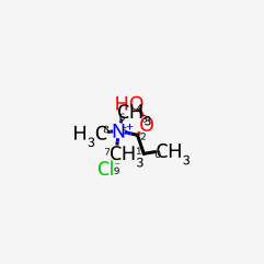 CCC(OO)[N+](C)(C)C.[Cl-]